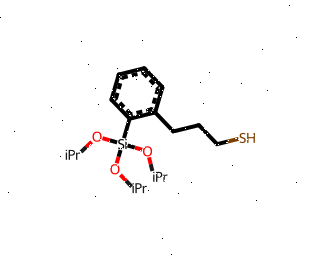 CC(C)O[Si](OC(C)C)(OC(C)C)c1ccccc1CCCS